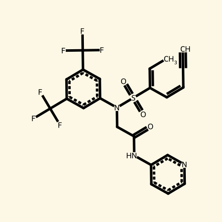 C#C/C=C\C(=C/C)S(=O)(=O)N(CC(=O)Nc1cccnc1)c1cc(C(F)(F)F)cc(C(F)(F)F)c1